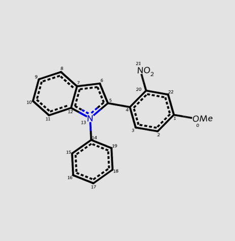 COc1ccc(-c2cc3ccccc3n2-c2ccccc2)c([N+](=O)[O-])c1